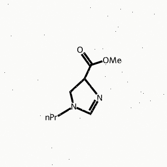 CCCN1C=NC(C(=O)OC)C1